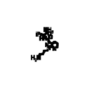 CC(C)C(NC(=O)c1nn(CCCCN)c2ncccc12)C(N)=O